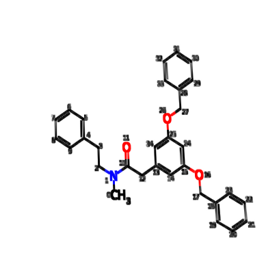 CN(CCc1ccccc1)C(=O)Cc1cc(OCc2ccccc2)cc(OCc2ccccc2)c1